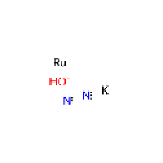 [K+].[N].[N].[OH-].[Ru]